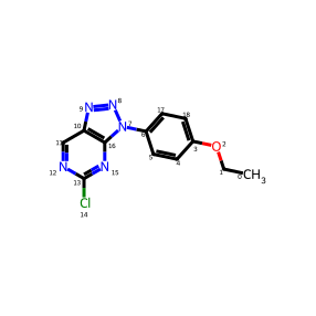 CCOc1ccc(-n2nnc3cnc(Cl)nc32)cc1